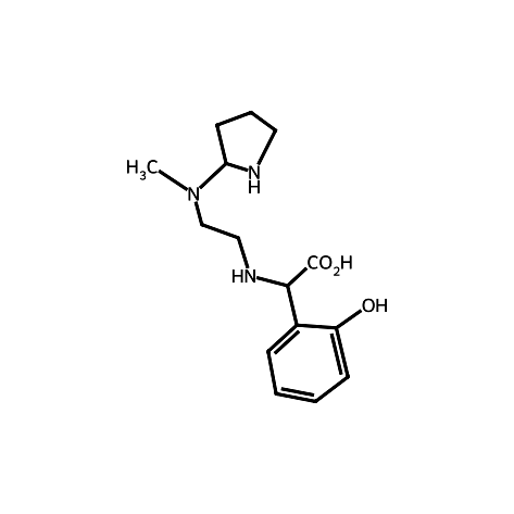 CN(CCNC(C(=O)O)c1ccccc1O)C1CCCN1